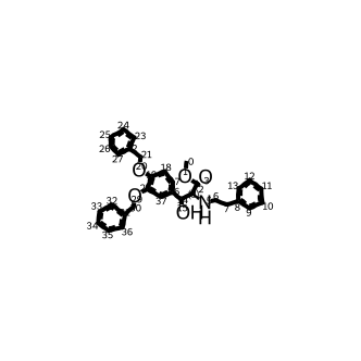 COC(=O)[C@@H](NCCc1ccccc1)C(O)c1ccc(OCc2ccccc2)c(OCc2ccccc2)c1